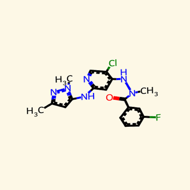 Cc1cc(Nc2cc(NN(C)C(=O)c3cccc(F)c3)c(Cl)cn2)n(C)n1